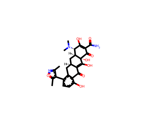 Cc1noc(C)c1-c1ccc(O)c2c1C[C@H]1C[C@H]3[C@H](N(C)C)C(O)=C(C(N)=O)C(=O)[C@@]3(O)C(O)=C1C2=O